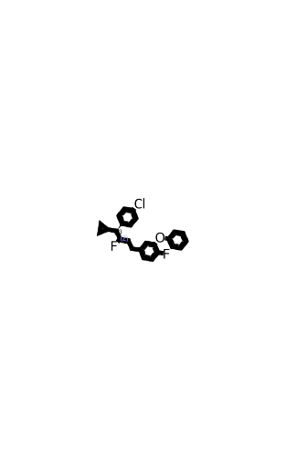 F/C(=C\Cc1ccc(F)c(Oc2ccccc2)c1)[C@@H](c1ccc(Cl)cc1)C1CC1